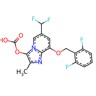 Cc1nc2c(OCc3c(F)cccc3F)cc(C(F)F)cn2c1OC(=O)O